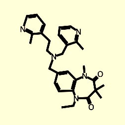 CCN1C(=O)C(C)(C)C(=O)N(C)c2cc(CN(CCc3cccnc3C)Cc3cccnc3C)ccc21